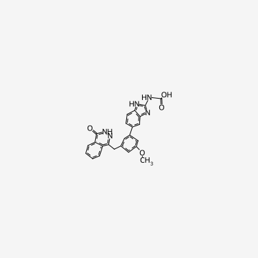 COc1cc(Cc2n[nH]c(=O)c3ccccc23)cc(-c2ccc3[nH]c(NC(=O)O)nc3c2)c1